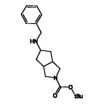 CC(C)(C)OC(=O)N1CC2CC(NCc3ccccc3)CC2C1